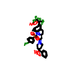 O=C(C[C@@H]1CCc2cc(C(O)(C(F)(F)F)C(F)(F)F)ccc2N1S(=O)(=O)c1ccc(F)cc1)N1CCC(O)(c2ccccc2)CC1